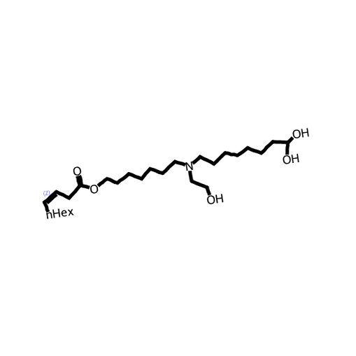 CCCCCC/C=C\CC(=O)OCCCCCCCN(CCO)CCCCCCCC(O)O